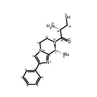 CC[C@@H](C)[C@H]1c2nc(-c3ccccc3)cn2CCN1C(=O)[C@H](N)CS